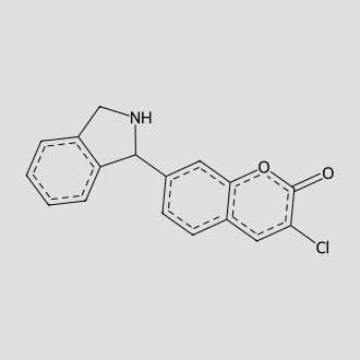 O=c1oc2cc(C3NCc4ccccc43)ccc2cc1Cl